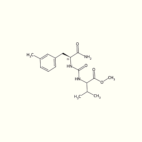 COC(=O)C(NC(=O)N[C@@H](Cc1cccc(C)c1)C(N)=O)C(C)C